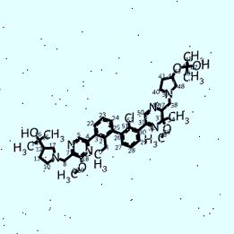 CCc1c(-c2cnc(CN3CCC(C(C)(C)O)C3)c(OC)n2)cccc1-c1cccc(C2=NC(C)(OC)C(CN3CCC(OC(C)(C)O)C3)N=C2)c1Cl